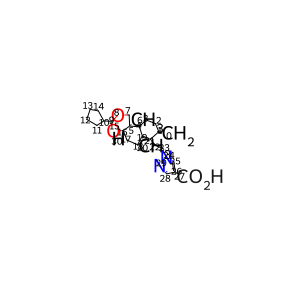 C=C1CCC2[C@]3(C)COC(C4CCCC4)O[C@@H]3CC[C@@]2(C)[C@@H]1CCn1cc(C(=O)O)cn1